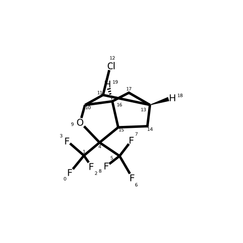 FC(F)(F)C1(C(F)(F)F)OC2C(Cl)[C@H]3CC1[C@@H]2C3